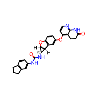 O=C1CCc2c(Oc3ccc4c(c3)[C@H]3[C@H](NC(=O)Nc5ccc6c(c5)CCC6)[C@H]3O4)ccnc2N1